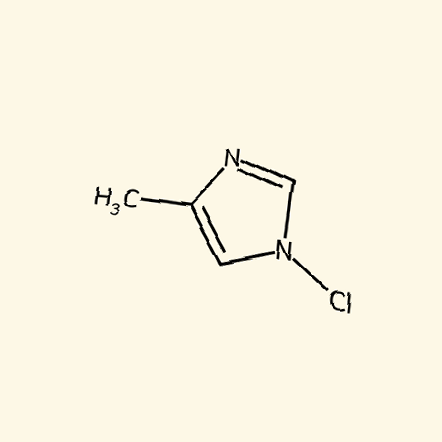 Cc1cn(Cl)cn1